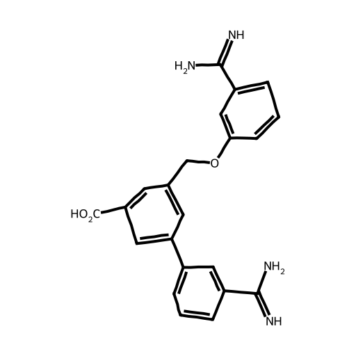 N=C(N)c1cccc(OCc2cc(C(=O)O)cc(-c3cccc(C(=N)N)c3)c2)c1